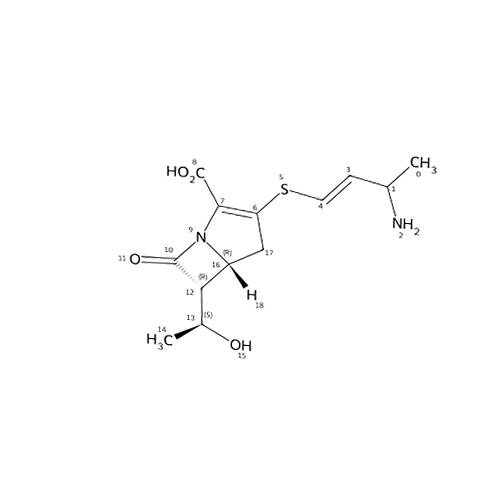 CC(N)C=CSC1=C(C(=O)O)N2C(=O)[C@@H]([C@H](C)O)[C@H]2C1